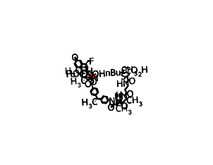 CCCCC(C)SC(CC(=O)O)C(=O)NCCC(=O)N[C@@H](C)C(=O)N[C@@H](C)C(=O)Nc1ccc([C@H](C)c2ccc([C@@H]3O[C@@H]4C[C@H]5[C@@H]6C[C@H](CF)C7=CC(=O)C=C[C@]7(C)[C@@]6(F)[C@@H](O)C[C@]5(C)[C@]4(C(=O)CO)O3)cc2)cc1